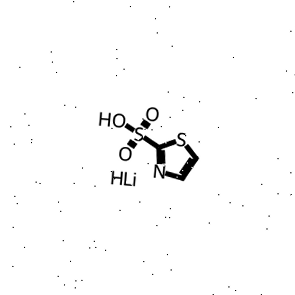 O=S(=O)(O)c1nccs1.[LiH]